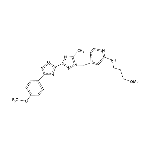 COCCCNc1cc(Cn2nc(-c3nc(-c4ccc(OC(F)(F)F)cc4)no3)nc2C)ccn1